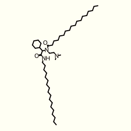 CCCCCCCCCCCCCCCCCCNC(=O)C(C1CCCCC1)N(CCN(C)C)C(=O)CCCCCCCCCCCCCCCCC